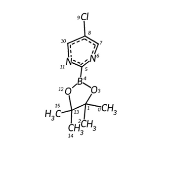 CC1(C)OB(c2ncc(Cl)cn2)OC1(C)C